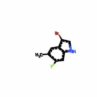 Cc1cc2c(Br)c[nH]c2cc1F